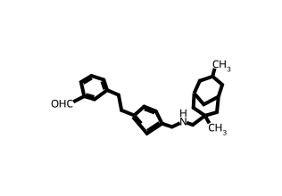 CC1CC2CC(C1)CC(C)(CNCc1ccc(CCc3cccc(C=O)c3)cc1)C2